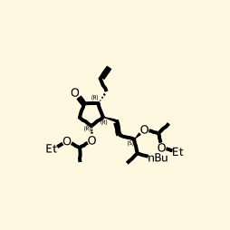 C=CC[C@H]1C(=O)C[C@@H](OC(C)OCC)[C@@H]1C=C[C@@H](OC(C)OCC)C(C)CCCC